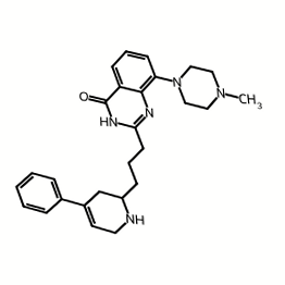 CN1CCN(c2cccc3c(=O)[nH]c(CCCC4CC(c5ccccc5)=CCN4)nc23)CC1